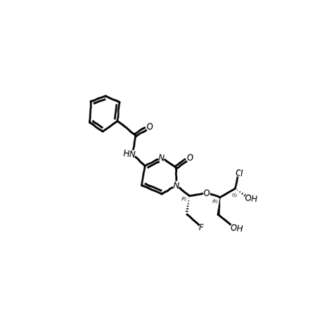 O=C(Nc1ccn([C@@H](CF)O[C@H](CO)[C@@H](O)Cl)c(=O)n1)c1ccccc1